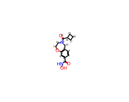 O=C(NO)c1ccc2c(c1)OCCN(C(=O)C1CCC1)C2